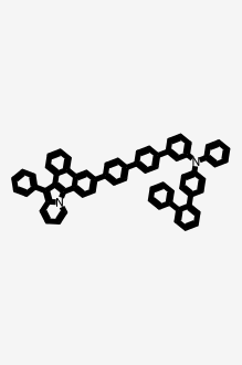 c1ccc(-c2ccccc2-c2ccc(N(c3ccccc3)c3cccc(-c4ccc(-c5ccc(-c6ccc7c(c6)c6ccccc6c6c(-c8ccccc8)c8ccccn8c76)cc5)cc4)c3)cc2)cc1